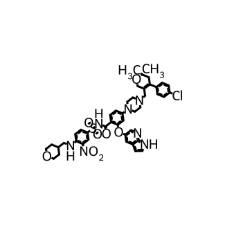 CC1(C)CC(c2ccc(Cl)cc2)=C(CN2CCN(c3ccc(C(=O)NS(=O)(=O)c4ccc(NCC5CCOCC5)c([N+](=O)[O-])c4)c(Oc4cnc5[nH]ccc5c4)c3)CC2)CO1